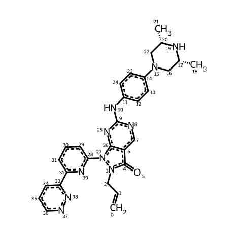 C=CCn1c(=O)c2cnc(Nc3ccc(N4C[C@@H](C)N[C@@H](C)C4)cc3)nc2n1-c1cccc(-c2cccnn2)n1